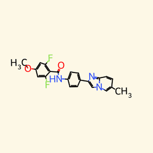 COc1cc(F)c(C(=O)Nc2ccc(-c3cn4cc(C)ccc4n3)cc2)c(F)c1